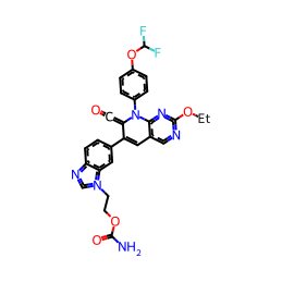 CCOc1ncc2c(n1)N(c1ccc(OC(F)F)cc1)C(=C=O)C(c1ccc3ncn(CCOC(N)=O)c3c1)=C2